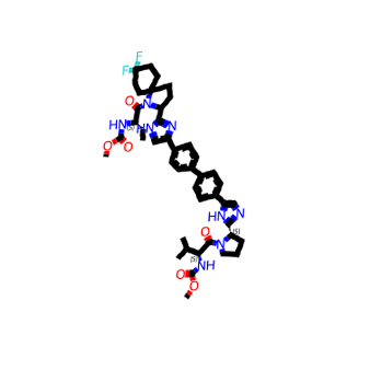 CC[C@H](NC(=O)OC)C(=O)N1C(c2nc(-c3ccc(-c4ccc(-c5cnc([C@@H]6CCCN6C(=O)[C@@H](NC(=O)OC)C(C)C)[nH]5)cc4)cc3)c[nH]2)CCC12CCC(F)(F)CC2